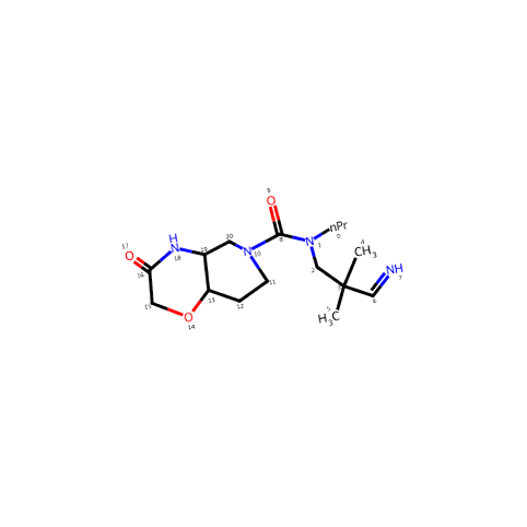 CCCN(CC(C)(C)C=N)C(=O)N1CCC2OCC(=O)NC2C1